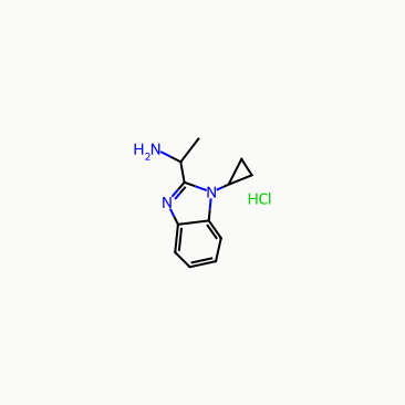 CC(N)c1nc2ccccc2n1C1CC1.Cl